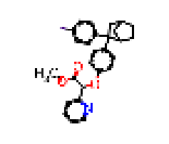 COC(=O)C(Oc1ccc(C2(c3ccc(I)cc3)CC3CCC2C3)cc1)c1ccccn1